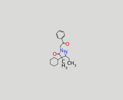 CCC1=NN(CC(=O)c2ccccc2)C(=O)C1(C)C1CCCCC1